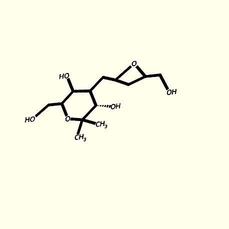 CC1(C)OC(CO)C(O)C(CC2CC(CO)O2)[C@@H]1O